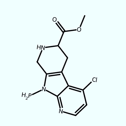 COC(=O)C1Cc2c(n(P)c3nccc(Cl)c23)CN1